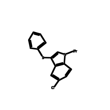 CC(C)n1cc(Sc2ccccc2)c2cc(Cl)ccc21